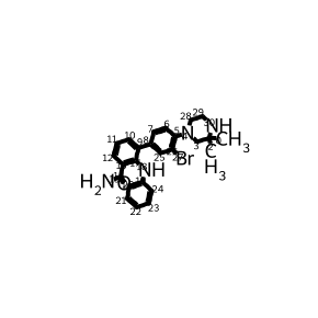 CC1(C)CN(c2ccc(-c3cccc(C(N)=O)c3Nc3ccccc3)cc2Br)CCN1